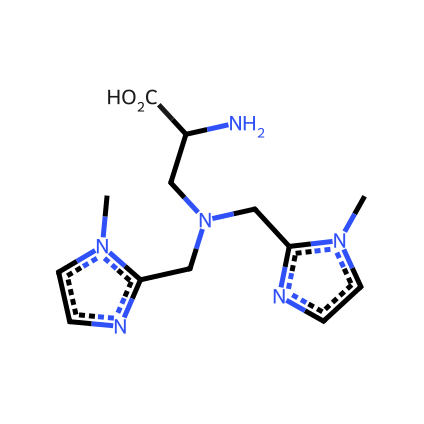 Cn1ccnc1CN(Cc1nccn1C)CC(N)C(=O)O